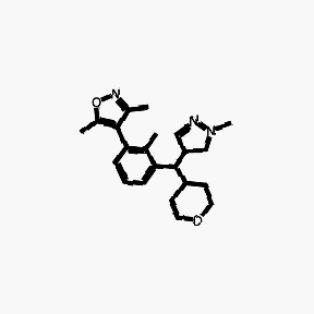 Cc1noc(C)c1-c1cccc(C(C2C=NN(C)C2)C2CCOCC2)c1C